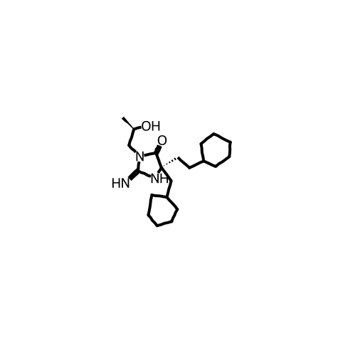 C[C@@H](O)CN1C(=N)N[C@](CCC2CCCCC2)(CC2CCCCC2)C1=O